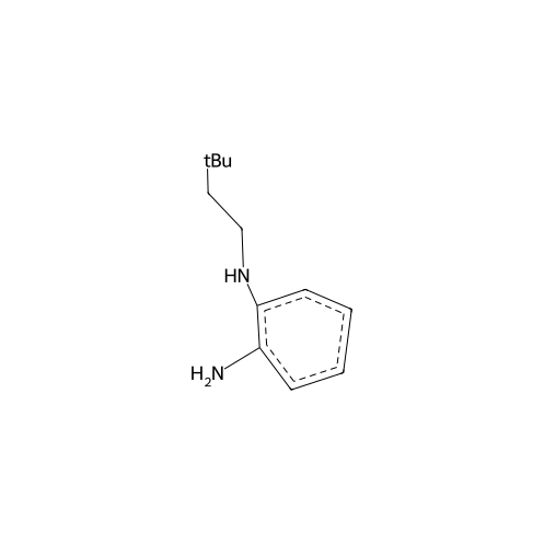 CC(C)(C)CCNc1ccccc1N